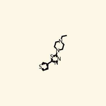 CCN1CCN(c2nnc(-c3ccsc3)s2)CC1